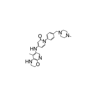 Cc1c(Nc2ccn(-c3ccc(CN4CCN(C)CC4)cc3)c(=O)c2)cnc2c1NCCO2